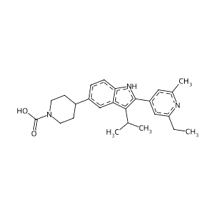 CCc1cc(-c2[nH]c3ccc(C4CCN(C(=O)O)CC4)cc3c2C(C)C)cc(C)n1